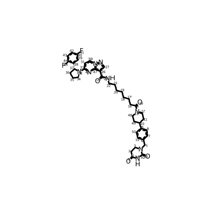 O=C1CCN(Cc2ccc(C3CCN(C(=O)CCCCCCCNC(=O)c4cnn5ccc(N6CCC[C@@H]6c6cc(F)ccc6F)nc45)CC3)cc2)C(=O)N1